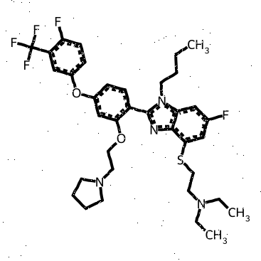 CCCCn1c(-c2ccc(Oc3ccc(F)c(C(F)(F)F)c3)cc2OCCN2CCCC2)nc2c(SCCN(CC)CC)cc(F)cc21